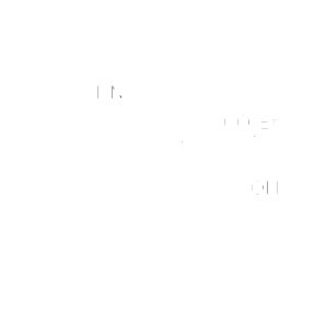 CCOC(=O)C1(CO)CNc2ccccc21